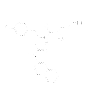 NCCC[C@H](N)C(=O)N[C@H](CC(=O)Nc1ccc2ccccc2c1)Cc1ccc(F)cc1